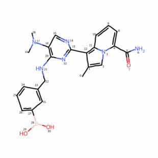 Cc1cn2c(C(N)=O)cccc2c1-c1ncc(N(C)C)c(NCc2cccc(B(O)O)c2)n1